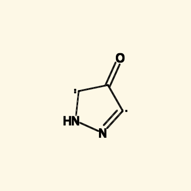 O=C1[C]NN=[C]1